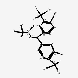 CC(C)(C)[S@@+]([O-])NC(c1cnc(C(F)(F)F)c(Cl)c1)c1ccc(F)c(C(F)(F)F)n1